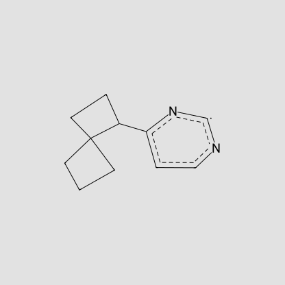 [c]1nccc(C2CCC23CCC3)n1